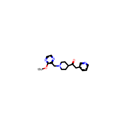 CC(C)(C)Oc1nccnc1CN1CCC(C(=O)Cc2cccnc2)CC1